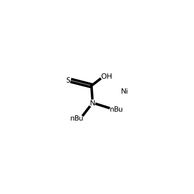 CCCCN(CCCC)C(O)=S.[Ni]